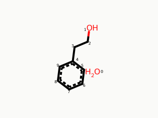 O.OCCc1ccccc1